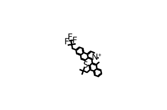 Cc1c2c(c(CC(C)(C)C)c3ccccc13)Sc1cc3cc(CC(C)(C)C(F)(F)F)ccc3c3cc[n+](C)c-2c13